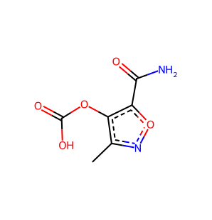 Cc1noc(C(N)=O)c1OC(=O)O